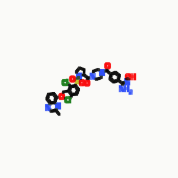 Cc1cnc2cccc(OCc3c(Cl)ccc(S(=O)(=O)N4CCCC4C(=O)N4CCN(C(=O)c5ccc(/C(N)=N\O)cc5)CC4)c3Cl)c2n1